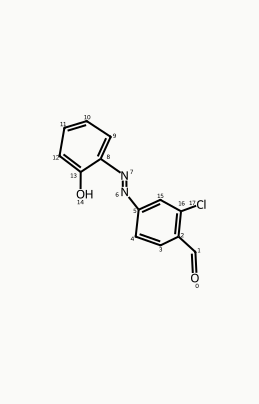 O=Cc1ccc(N=Nc2ccccc2O)cc1Cl